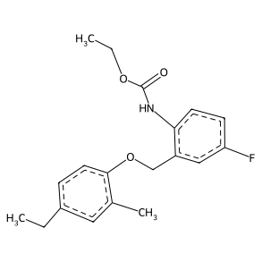 CCOC(=O)Nc1ccc(F)cc1COc1ccc(CC)cc1C